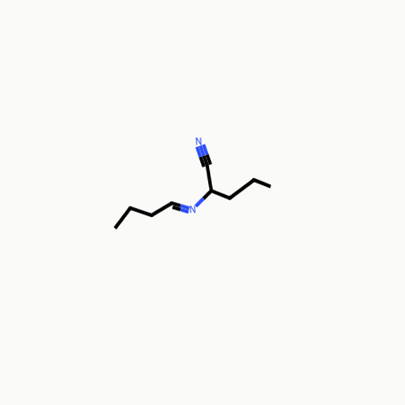 CCCC=NC(C#N)CCC